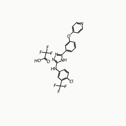 FC(F)(F)c1cc(Nc2nnc(-c3cccc(Oc4ccncc4)c3)[nH]2)ccc1Cl.O=C(O)C(F)(F)F